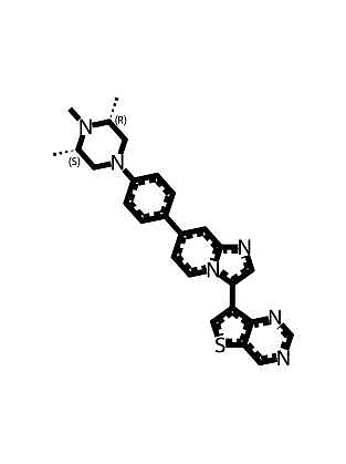 C[C@@H]1CN(c2ccc(-c3ccn4c(-c5csc6cncnc56)cnc4c3)cc2)C[C@H](C)N1C